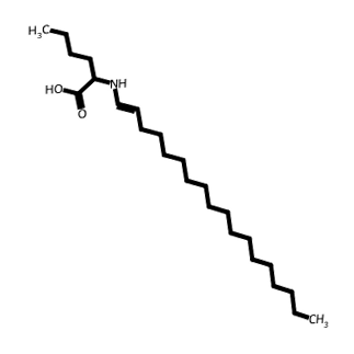 CCCCCCCCCCCCCCCCC=CNC(CCCC)C(=O)O